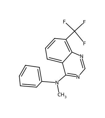 CN(c1ccccc1)c1ncnc2c(C(F)(F)F)cccc12